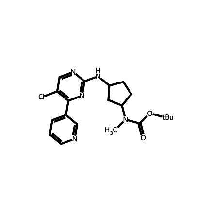 CN(C(=O)OC(C)(C)C)C1CCC(Nc2ncc(Cl)c(-c3cccnc3)n2)C1